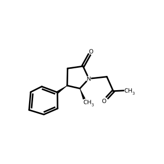 CC(=O)CN1C(=O)C[C@H](c2ccccc2)[C@@H]1C